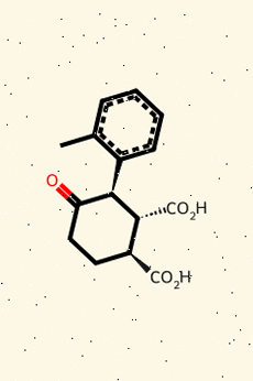 Cc1ccccc1[C@@H]1C(=O)CC[C@H](C(=O)O)[C@H]1C(=O)O